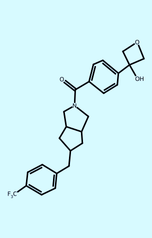 O=C(c1ccc(C2(O)COC2)cc1)N1CC2CC(Cc3ccc(C(F)(F)F)cc3)CC2C1